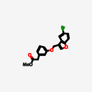 COC(=O)Cc1cccc(OCc2coc3ccc(Br)cc23)c1